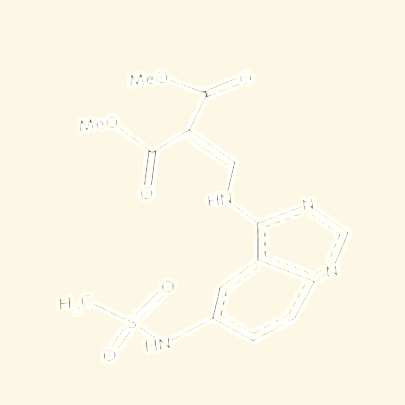 COC(=O)C(=CNc1ncnc2ccc(NS(C)(=O)=O)cc12)C(=O)OC